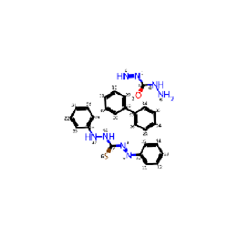 N=NC(=O)NN.S=C(/N=N/c1ccccc1)NNc1ccccc1.c1ccc(-c2ccccc2)cc1